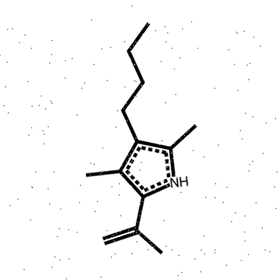 C=C(C)c1[nH]c(C)c(CCCC)c1C